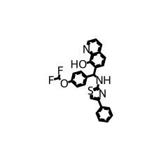 Oc1c(C(Nc2nc(-c3ccccc3)cs2)c2ccc(OC(F)F)cc2)ccc2cccnc12